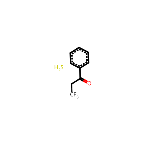 O=C(CC(F)(F)F)c1ccccc1.S